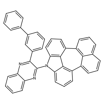 c1ccc(-c2cccc(-c3nc4ccccc4nc3-n3c4cccc5c4c4c(cccc43)-c3cccc4cccc-5c34)c2)cc1